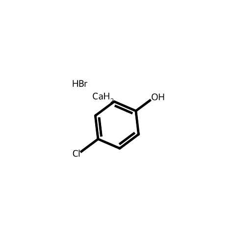 Br.Oc1ccc(Cl)cc1.[CaH2]